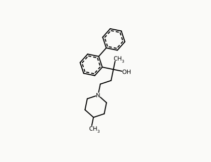 CC1CCN(CCC(C)(O)c2ccccc2-c2ccccc2)CC1